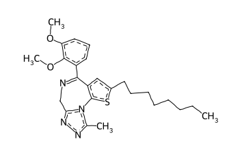 CCCCCCCCc1cc2c(s1)-n1c(C)nnc1CN=C2c1cccc(OC)c1OC